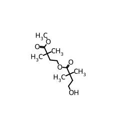 COC(=O)C(C)(C)CCOC(=O)C(C)(C)CCO